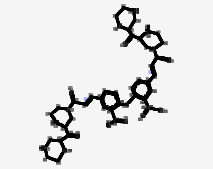 O=C(C1CN(C(=O)/C=C/c2ccc(Sc3ccc(/C=C/C(=O)N4CCNC(C(=O)C5CNCCO5)C4)cc3[N+](=O)[O-])c([N+](=O)[O-])c2)CCN1)C1CNCCO1